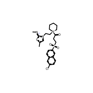 C/N=c1\sc(C)cn1CC[N+]1(C(=O)CCS(=O)(=O)c2ccc3cc(Cl)ccc3c2)CCCCC1